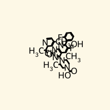 Cc1ccnc(C(C)C)c1-n1c(=O)nc(N2C(C)CN(C(=O)O)CC2C)c2cc(F)c(-c3c(O)cccc3F)nc21